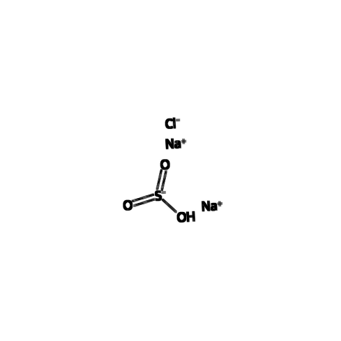 O=[S-](=O)O.[Cl-].[Na+].[Na+]